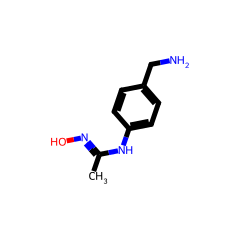 CC(=NO)Nc1ccc(CN)cc1